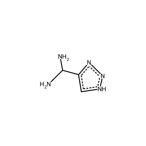 NC(N)c1c[nH]nn1